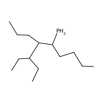 CCCCC(P)C(CCC)C(CC)CC